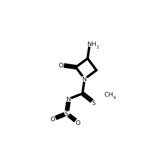 C.NC1CN(C(=S)N=S(=O)=O)C1=O